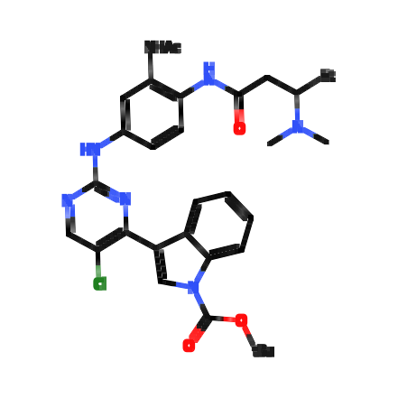 CCC(CC(=O)Nc1ccc(Nc2ncc(Cl)c(-c3cn(C(=O)OC(C)(C)C)c4ccccc34)n2)cc1NC(C)=O)N(C)C